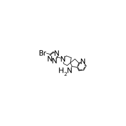 N[C@@H]1c2cccnc2CC12CCN(c1ncc(Br)nn1)CC2